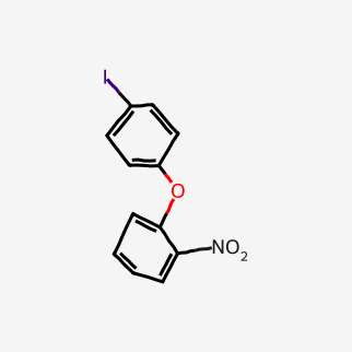 O=[N+]([O-])c1ccccc1Oc1ccc(I)cc1